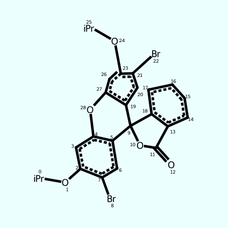 CC(C)Oc1cc2c(cc1Br)C1(OC(=O)c3ccccc31)c1cc(Br)c(OC(C)C)cc1O2